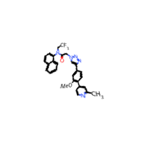 COc1cc(-c2cn(CC(=O)N(CC(F)(F)F)c3cccc4ccccc34)nn2)ccc1-c1ccnc(C)c1